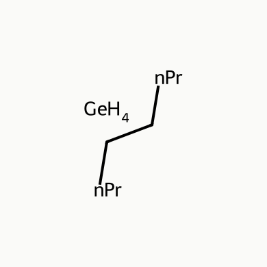 [CH2]CCCCCCC.[GeH4]